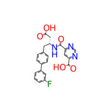 O=C(O)C[C@@H](Cc1ccc(-c2cccc(F)c2)cc1)NC(=O)c1cc(C(=O)O)ncn1